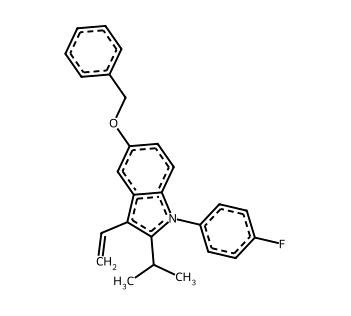 C=Cc1c(C(C)C)n(-c2ccc(F)cc2)c2ccc(OCc3ccccc3)cc12